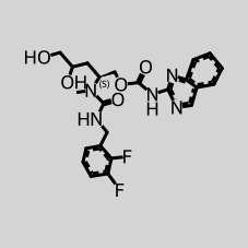 CN(C(=O)NCc1cccc(F)c1F)[C@H](COC(=O)Nc1ncc2ccccc2n1)CC(O)CO